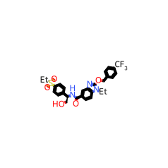 CCn1c(OCc2ccc(C(F)(F)F)cc2)nc2cc(C(=O)N[C@@H](CO)c3ccc(S(=O)(=O)CC)cc3)ccc21